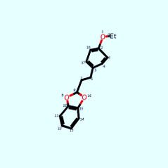 CCOc1ccc(CCC2Oc3[c]cccc3O2)cc1